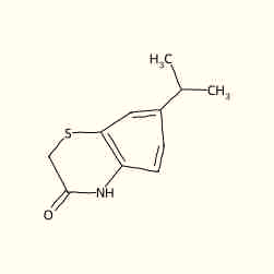 CC(C)c1ccc2c(c1)SCC(=O)N2